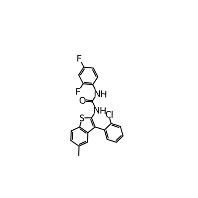 Cc1ccc2sc(NC(=O)Nc3ccc(F)cc3F)c(-c3ccccc3Cl)c2c1